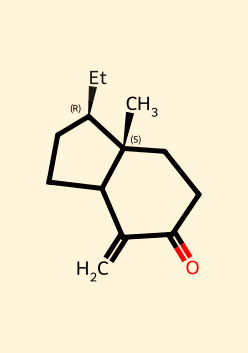 C=C1C(=O)CC[C@]2(C)C1CC[C@H]2CC